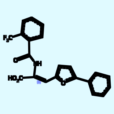 O=C(O)/C(=C/c1ccc(-c2ccccc2)o1)NC(=O)c1ccccc1C(F)(F)F